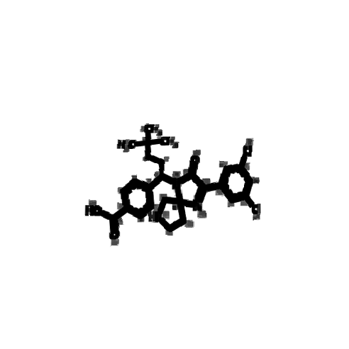 CC(C)(C)CC[C@H](c1ccc(C(=O)O)cc1)N1C(=O)C(c2cc(Cl)cc(Cl)c2)=NC12CCNC2